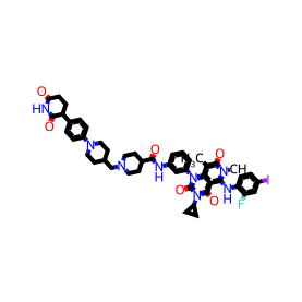 Cc1c(=O)n(C)c(Nc2ccc(I)cc2F)c2c(=O)n(C3CC3)c(=O)n(-c3cccc(NC(=O)C4CCN(CC5CCN(c6ccc(C7CCC(=O)NC7=O)cc6)CC5)CC4)c3)c12